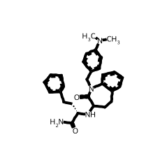 CN(C)c1ccc(CN2C(=O)C(N[C@@H](CCc3ccccc3)C(N)=O)CCc3ccccc32)cc1